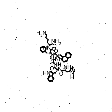 C[C@H](NC(=O)[C@@H](Cc1c[nH]c2ccccc12)NC(=O)[C@@H](N)Cc1cnc[nH]1)C(=O)NN(Cc1cccc2ccccc12)C(=O)N[C@H](Cc1ccccc1)C(=O)N[C@@H](CCCCN)C(N)=O